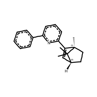 CC1(C)[C@H]2C=C(c3cccc(-c4ccccc4)n3)[C@@]1(C)CC2